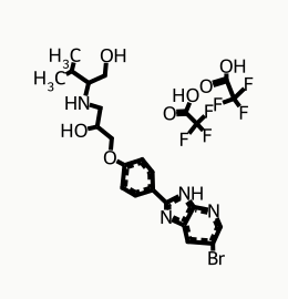 CC(C)C(CO)NCC(O)COc1ccc(-c2nc3cc(Br)cnc3[nH]2)cc1.O=C(O)C(F)(F)F.O=C(O)C(F)(F)F